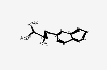 CC(=O)OC(OC(C)=O)/C(C)=C/c1ccc2ccccc2c1